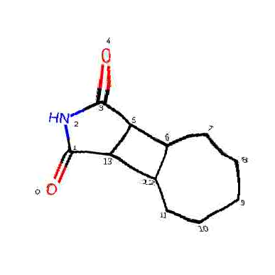 O=C1NC(=O)C2C3CCCCCC3C12